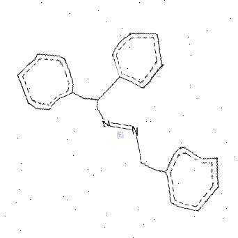 c1ccc(C/N=N/C(c2ccccc2)c2ccccc2)cc1